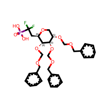 O=P(O)(O)C(F)(F)C[C@H]1OC[C@H](OCOCc2ccccc2)[C@H](OCOCc2ccccc2)[C@@H]1OCOCc1ccccc1